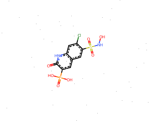 O=c1[nH]c2cc(Cl)c(S(=O)(=O)NO)cc2cc1P(=O)(O)O